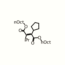 CCCCCCCCOC(=O)C(=C(C(=O)OCCCCCCCC)C1CCCC1)C(C)C